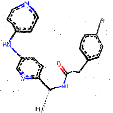 CC(C)c1ccc(CC(=O)N[C@H](C)c2ccc(Nc3ccncc3)cn2)cc1